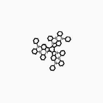 c1ccc(N2c3ccccc3B3c4ccccc4-n4c5c3c2ccc5c2c4c3c4ccc5c6c4n(c3c3c4ccc7c8c4n(c23)-c2ccccc2B8c2ccccc2N7c2ccccc2)-c2ccccc2B6c2ccccc2N5c2ccccc2)cc1